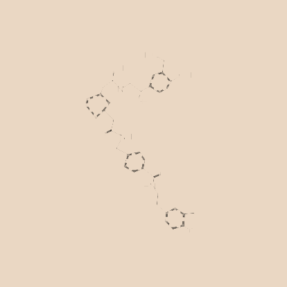 C[C@H](Cc1cccc(CC(=O)NCc2ccc(C(=O)NCCc3ccc(Cl)c(Cl)c3)cc2)c1)NC[C@H](O)c1ccc(O)c(CO)c1